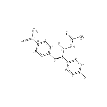 Cc1ccc([C@@H](Oc2ccc(C(N)=O)nc2)C(C)NC(=O)C(F)(F)F)cc1